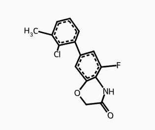 Cc1cccc(-c2cc(F)c3c(c2)OCC(=O)N3)c1Cl